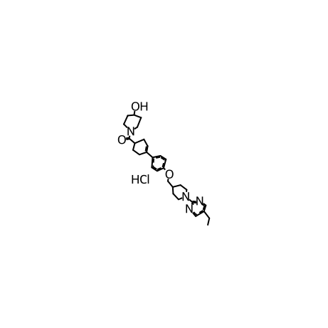 CCc1cnc(N2CCC(COc3ccc(C4=CCC(C(=O)N5CCC(O)CC5)CC4)cc3)CC2)nc1.Cl